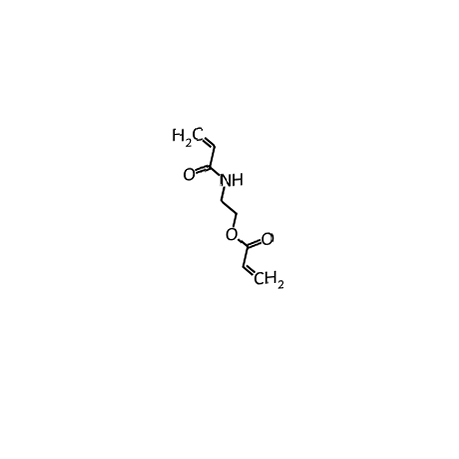 C=CC(=O)NCCOC(=O)C=C